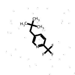 CC(C)(C)Cc1ccc(C(F)(F)F)nc1